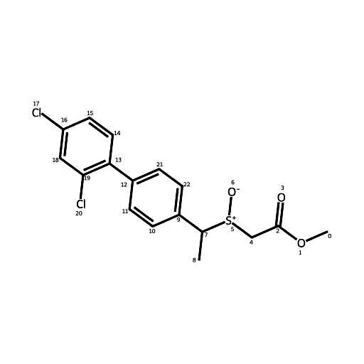 COC(=O)C[S+]([O-])C(C)c1ccc(-c2ccc(Cl)cc2Cl)cc1